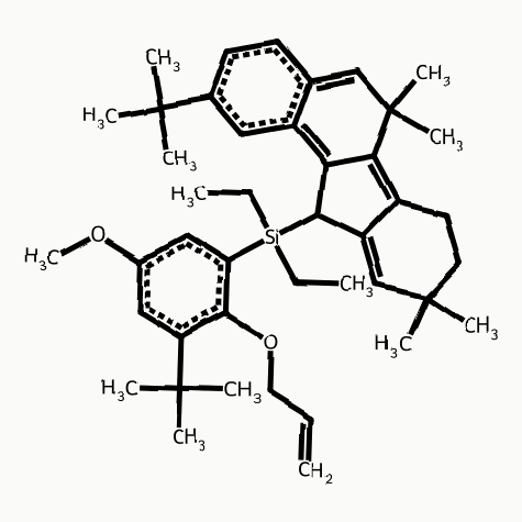 C=CCOc1c(C(C)(C)C)cc(OC)cc1[Si](CC)(CC)C1C2=CC(C)(C)CCC2=C2C1=c1cc(C(C)(C)C)ccc1=CC2(C)C